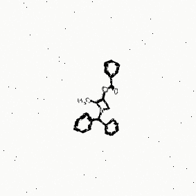 CC1C(OC(=O)c2ccccc2)CN1C(c1ccccc1)c1ccccc1